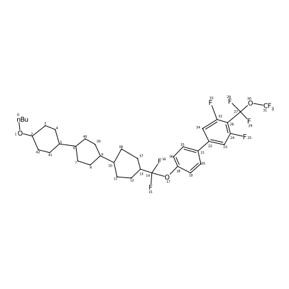 CCCCOC1CCC(C2CCC(C3CCC(C(F)(F)Oc4ccc(-c5cc(F)c(C(F)(F)OC(F)(F)F)c(F)c5)cc4)CC3)CC2)CC1